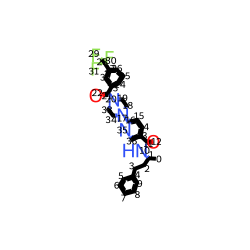 CC(CCc1ccccc1)NC(=O)c1ccc(N2CCN(C(=O)c3cccc(C(F)(F)F)c3)CC2)nc1